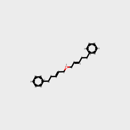 C(=CCOCC=CCCc1ccccc1)CCc1ccccc1